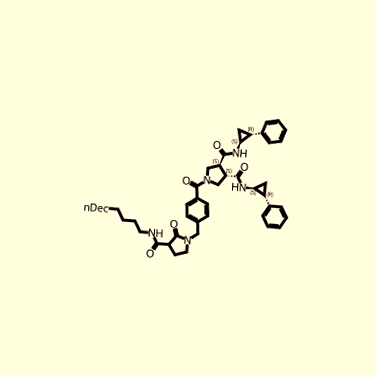 CCCCCCCCCCCCCCNC(=O)C1CCN(Cc2ccc(C(=O)N3C[C@@H](C(=O)N[C@H]4C[C@@H]4c4ccccc4)[C@H](C(=O)N[C@H]4C[C@@H]4c4ccccc4)C3)cc2)C1=O